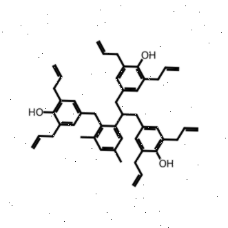 C=CCc1cc(Cc2c(C)cc(C)cc2C(Cc2cc(CC=C)c(O)c(CC=C)c2)Cc2cc(CC=C)c(O)c(CC=C)c2)cc(CC=C)c1O